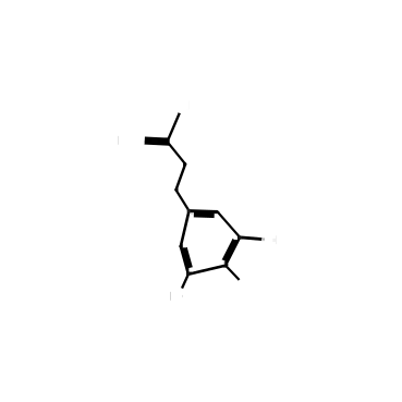 C=C(C)CCc1cc(O)c(O)c(O)c1